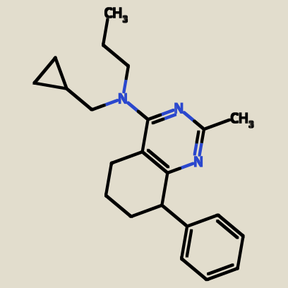 CCCN(CC1CC1)c1nc(C)nc2c1CCCC2c1ccccc1